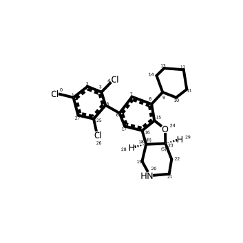 Clc1cc(Cl)c(-c2cc(C3CCCCC3)c3c(c2)[C@@H]2CNCC[C@@H]2O3)c(Cl)c1